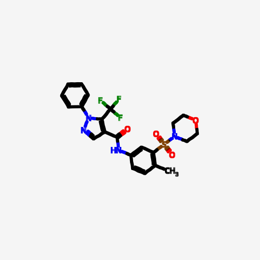 Cc1ccc(NC(=O)c2cnn(-c3ccccc3)c2C(F)(F)F)cc1S(=O)(=O)N1CCOCC1